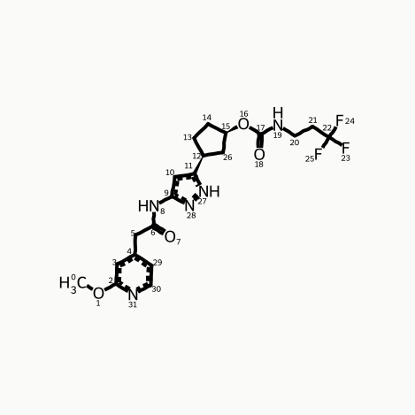 COc1cc(CC(=O)Nc2cc([C@H]3CC[C@@H](OC(=O)NCCC(F)(F)F)C3)[nH]n2)ccn1